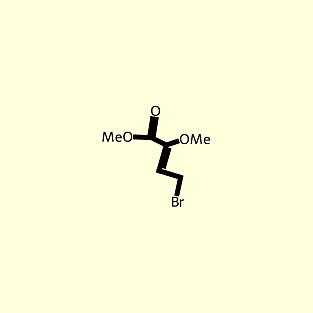 COC(=O)C(=CCBr)OC